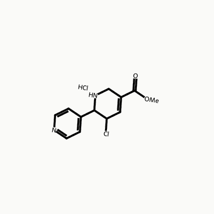 COC(=O)C1=CC(Cl)C(c2ccncc2)NC1.Cl